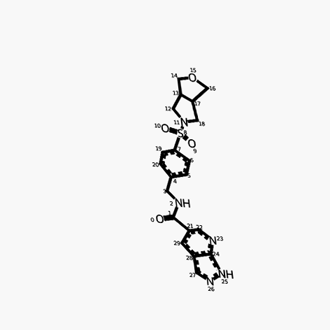 O=C(NCc1ccc(S(=O)(=O)N2CC3COCC3C2)cc1)c1cnc2[nH]ncc2c1